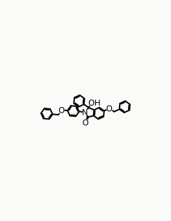 O=C1c2ccc(OCc3ccccc3)cc2C(O)(c2ccccc2)N1c1ccc(OCc2ccccc2)cc1